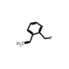 C=Cc1ccccc1CF